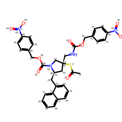 CC(=O)S[C@]1(CNC(=O)OCc2ccc([N+](=O)[O-])cc2)C[C@@H](Cc2cccc3ccccc23)N(C(=O)OCc2ccc([N+](=O)[O-])cc2)C1